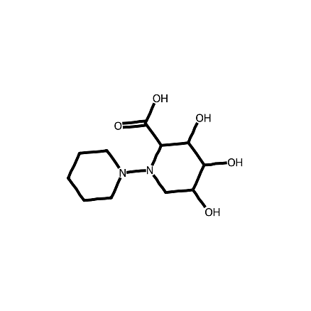 O=C(O)C1C(O)C(O)C(O)CN1N1CCCCC1